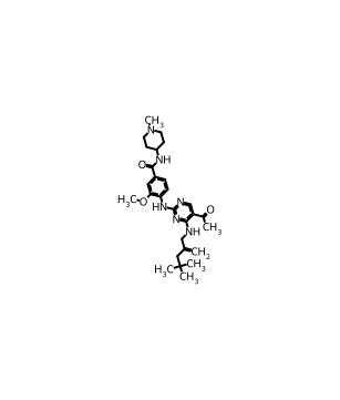 C=C(CNc1nc(Nc2ccc(C(=O)NC3CCN(C)CC3)cc2OC)ncc1C(C)=O)CC(C)(C)C